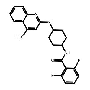 Cc1cc(NC2CCC(NC(=O)c3c(F)cccc3F)CC2)nc2ccccc12